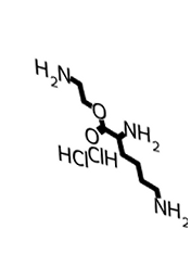 Cl.Cl.NCCCCC(N)C(=O)OCCN